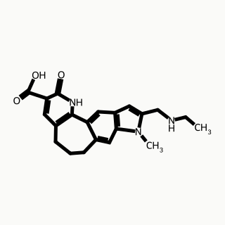 CCNCc1cc2cc3c(cc2n1C)CCCc1cc(C(=O)O)c(=O)[nH]c1-3